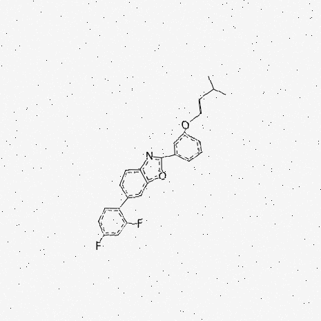 CC(C)CCOc1cccc(-c2nc3ccc(-c4ccc(F)cc4F)cc3o2)c1